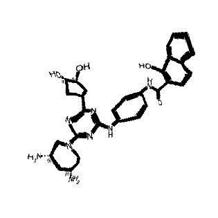 N[C@@H]1C[C@H](N)CN(c2nc(Nc3ccc(NC(=O)c4ccc5ccccc5c4O)cc3)nc(C3C[C@@H](O)[C@@H](O)C3)n2)C1